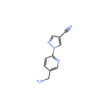 N#Cc1cnn(-c2ccc(CN)cn2)c1